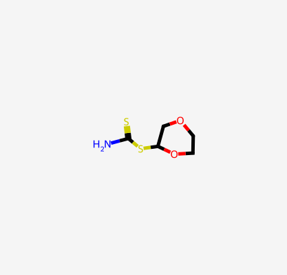 NC(=S)SC1COCCO1